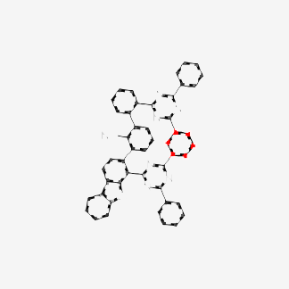 N#Cc1c(-c2ccccc2-c2nc(-c3ccccc3)nc(-c3ccccc3)n2)cccc1-c1ccc2c(oc3ccccc32)c1-c1nc(-c2ccccc2)nc(-c2ccccc2)n1